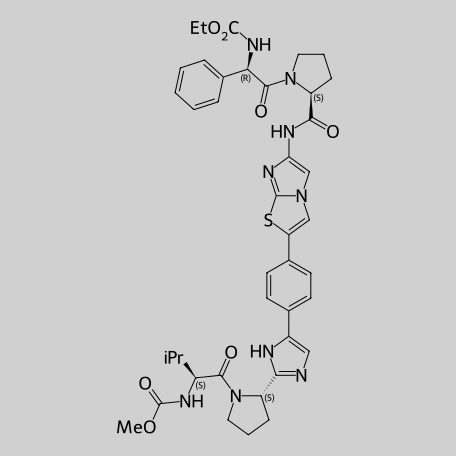 CCOC(=O)N[C@@H](C(=O)N1CCC[C@H]1C(=O)Nc1cn2cc(-c3ccc(-c4cnc([C@@H]5CCCN5C(=O)[C@@H](NC(=O)OC)C(C)C)[nH]4)cc3)sc2n1)c1ccccc1